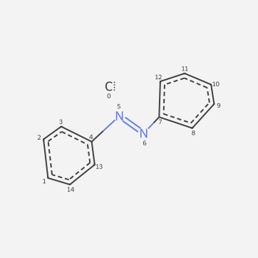 [C].c1ccc(N=Nc2ccccc2)cc1